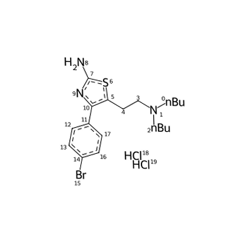 CCCCN(CCCC)CCc1sc(N)nc1-c1ccc(Br)cc1.Cl.Cl